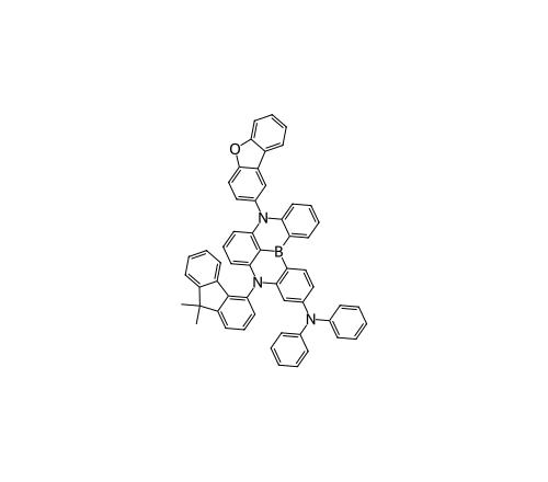 CC1(C)c2ccccc2-c2c(N3c4cc(N(c5ccccc5)c5ccccc5)ccc4B4c5ccccc5N(c5ccc6oc7ccccc7c6c5)c5cccc3c54)cccc21